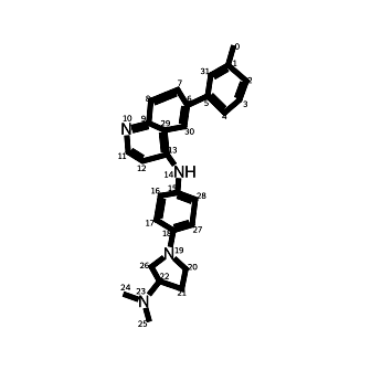 Cc1cccc(-c2ccc3nccc(Nc4ccc(N5CCC(N(C)C)C5)cc4)c3c2)c1